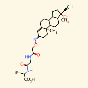 C#CC1(O)CCC2C3CCC4=C/C(=N/OCC(=O)NCC(=O)NC(C(=O)O)C(C)C)CC[C@]4(C)C3CC[C@@]21C